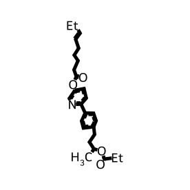 CC/C=C/CCCCC(=O)Oc1ccc(-c2ccc(CCC(C)OC(=O)CC)cc2)nc1